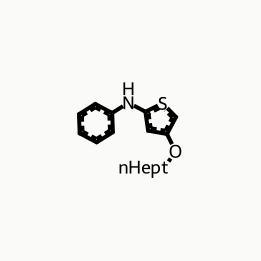 CCCCCCCOc1csc(Nc2ccccc2)c1